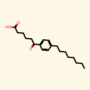 CCCCCCCCc1ccc(C(=O)CCCCC(=O)O)cc1